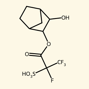 O=C(OC1C2CCC(C2)C1O)C(F)(C(F)(F)F)S(=O)(=O)O